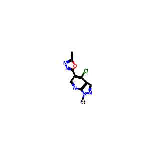 CCn1ncc2c(Cl)c(-c3nnc(C)o3)cnc21